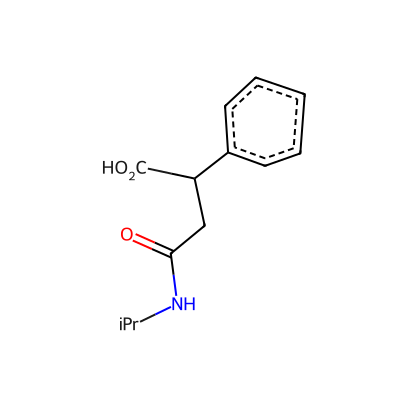 CC(C)NC(=O)CC(C(=O)O)c1ccccc1